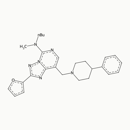 CCCCN(C)c1ncc(CN2CCC(c3ccccc3)CC2)c2nc(-c3ccco3)nn12